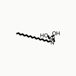 CCCCCCCCCCCCCCCCCC1=NCC[N+]1(CCO)CCO